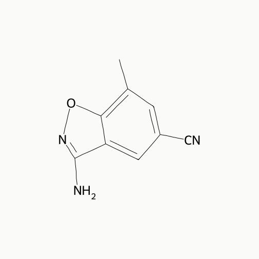 Cc1cc(C#N)cc2c(N)noc12